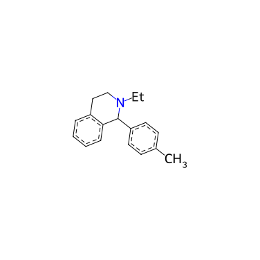 CCN1CCc2ccccc2C1c1ccc(C)cc1